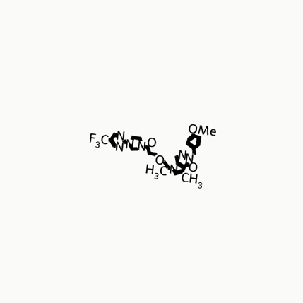 COc1ccc(Cn2ncc3c(c(C)cn3C(C)COCCC(=O)N3CCN(c4ncc(C(F)(F)F)cn4)CC3)c2=O)cc1